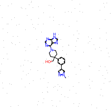 Cn1cc(-c2cccc(C3(CO)CCN(c4ncnc5[nH]cnc45)CC3)c2)cn1